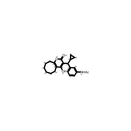 [CH2]C(=O)Nc1cccc(C(c2c(O)c3c(oc2=O)CCCCCC3)C2CC2)c1